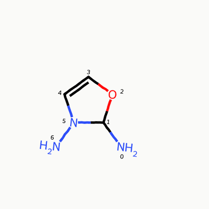 NC1OC=CN1N